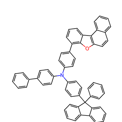 c1ccc(-c2ccc(N(c3ccc(-c4cccc5c4oc4ccc6ccccc6c45)cc3)c3ccc(C4(c5ccccc5)c5ccccc5-c5ccccc54)cc3)cc2)cc1